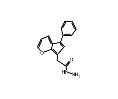 NNC(=O)Cc1cc(-c2ccccc2)c2cccoc1-2